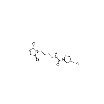 CC(C)C1CCN(C(=O)NCCCCN2C(=O)C=CC2=O)C1